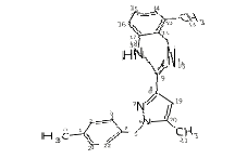 Cc1ccc(Cn2nc(-c3nc4c(C)cccc4[nH]3)cc2C)cc1